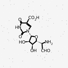 NC(C=O)[C@H]1O[C@@H](n2cc(C(=O)O)c(=O)[nH]c2=O)[C@H](O)[C@@H]1O